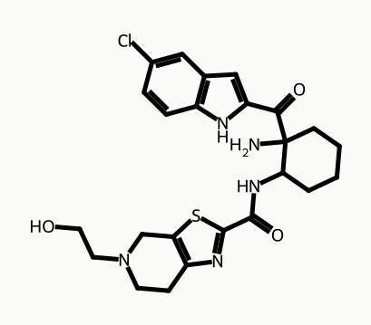 NC1(C(=O)c2cc3cc(Cl)ccc3[nH]2)CCCCC1NC(=O)c1nc2c(s1)CN(CCO)CC2